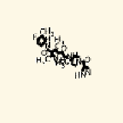 Cc1cc(NC(=O)c2c(C)c(C(=O)C(=O)NC3(C)CCN(C(=O)c4cn[nH]c4)CC3)n(C)c2C)ccc1F